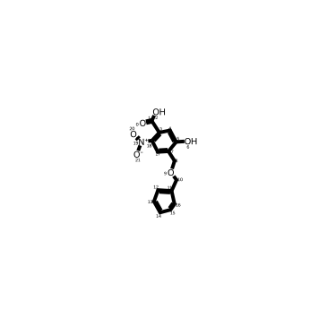 O=C(O)c1cc(O)c(COCc2ccccc2)cc1[N+](=O)[O-]